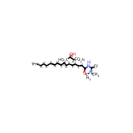 CCC(NC(=O)CCCCCCCCCCCCCCC(C)C)N(C)C.O=C(O)CC(O)C(=O)O